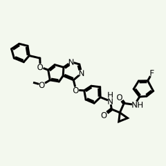 COc1cc2c(Oc3ccc(NC(=O)C4(C(=O)Nc5ccc(F)cc5)CC4)cc3)ncnc2cc1OCc1ccccc1